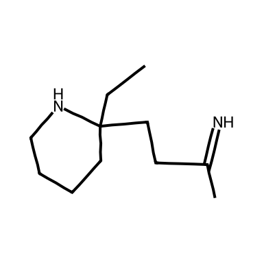 CCC1(CCC(C)=N)CCCCN1